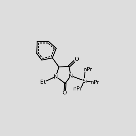 CCC[Si](CCC)(CCC)N1C(=O)C(c2ccccc2)N(CC)C1=O